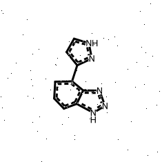 c1cc(-c2cc[nH]n2)c2nn[nH]c2c1